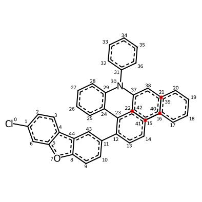 Clc1ccc2c(c1)oc1ccc(-c3ccc(-c4ccccc4)cc3-c3ccccc3N(c3ccccc3)c3ccccc3)cc12